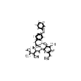 CC[C@@H](O)[C@@H](O)[C@H](CO[C@H]1OC(CO)[C@@H](F)C(O)[C@@H]1O)NC(=O)Cc1ccc(Oc2ccccc2)cc1